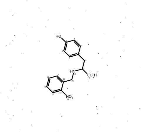 O=C(O)C(Cc1ccc(O)cc1)NCc1ccccc1[N+](=O)[O-]